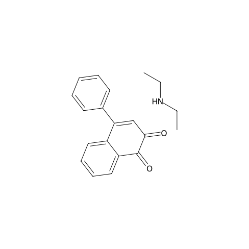 CCNCC.O=C1C=C(c2ccccc2)c2ccccc2C1=O